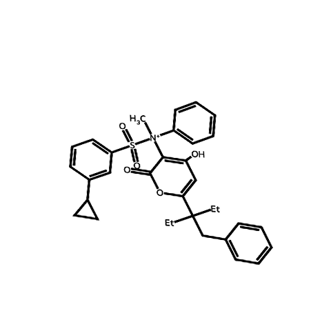 CCC(CC)(Cc1ccccc1)c1cc(O)c([N+](C)(c2ccccc2)S(=O)(=O)c2cccc(C3CC3)c2)c(=O)o1